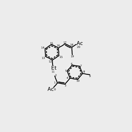 CC(=O)C(C)=Cc1cccc(C)c1.CCc1cccc(C=C(C)C(C)=O)c1